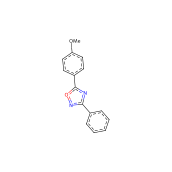 COc1ccc(-c2nc(-c3ccccc3)no2)cc1